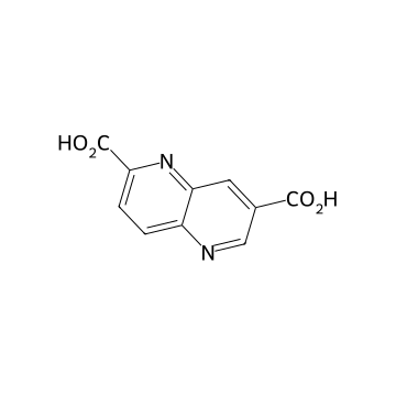 O=C(O)c1cnc2ccc(C(=O)O)nc2c1